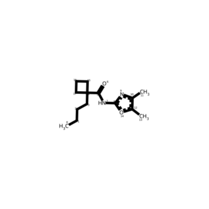 CCCCC1(C(=O)Nc2nc(C)c(C)o2)CCC1